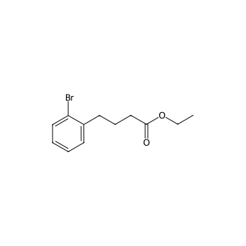 CCOC(=O)CCCc1ccccc1Br